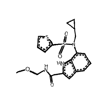 COCNC(=O)c1cc2cccc(N(CC3CC3)S(=O)(=O)c3cccs3)c2[nH]1